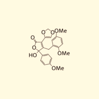 COc1ccc(C2(O)OC(=O)C(C3=COCO3)=C2Cc2cc(OC)ccc2OC)cc1